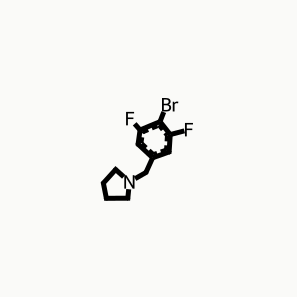 Fc1cc(CN2CCCC2)cc(F)c1Br